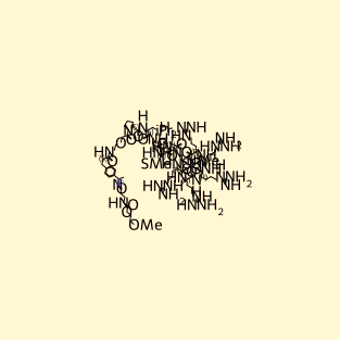 CNC(=O)[C@@H](CCCNC(=N)N)NC(=O)[C@@H](CCCNC(=N)N)NC(=O)[C@@H](CCCNC(=N)N)NC(=O)[C@@H](CCCNC(=N)N)NC(=O)[C@@H](CCCNC(=N)N)NC(=O)CNC(=O)[C@H](C)NC(=O)[C@H](CSC)NC(=O)CNC(=O)[C@H](CC(C)C)NC(=O)[C@@H]1CCCN1C(=O)COCCNC(=O)[C@@H](C)Cc1ccc(/C(C)=N/OCCNC(=O)OCCOC)cc1